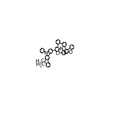 CC1(C)c2ccccc2-c2cc3c4cc(-c5ccc6c(c5)-c5ccccc5-c5cccc(-c7cccc8oc9ccccc9c78)c5N6c5ccccc5Cl)ccc4n(-c4ccccc4)c3cc21